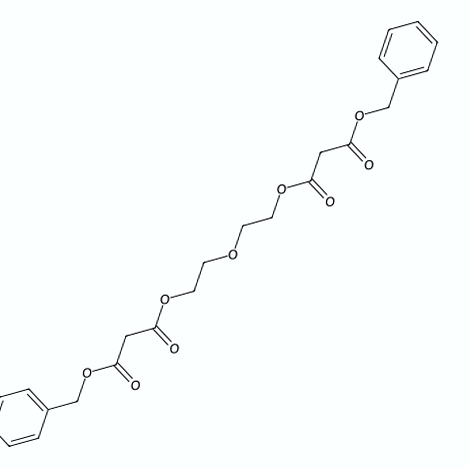 O=C(CC(=O)OCc1ccccc1)OCCOCCOC(=O)CC(=O)OCc1ccccc1